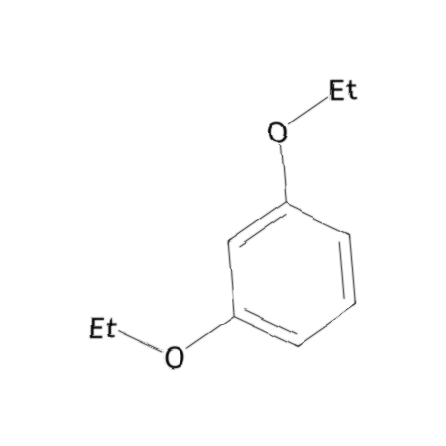 CCOc1cccc(OCC)c1